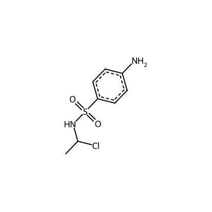 CC(Cl)NS(=O)(=O)c1ccc(N)cc1